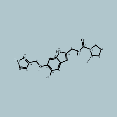 C[C@H]1CCCN1C(=O)NCc1cc2cc(F)c(OCc3ccon3)cc2[nH]1